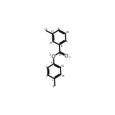 Cc1ccc(OC(=O)c2cccc(C)c2)cc1